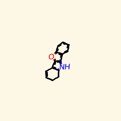 C1=Cc2c([nH]c3c2oc2ccccc23)CC1